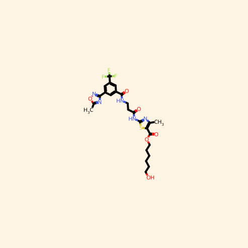 Cc1nc(-c2cc(C(=O)NCCC(=O)Nc3nc(C)c(C(=O)OCCCCCCO)s3)cc(C(F)(F)F)c2)no1